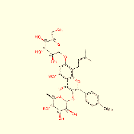 COc1ccc(-c2oc3c(CC=C(C)C)c(OC4O[C@@H](CO)[C@H](O)[C@@H](O)[C@@H]4O)cc(O)c3c(=O)c2OC2O[C@H](C)[C@@H](O)[C@H](O)[C@@H]2O)cc1